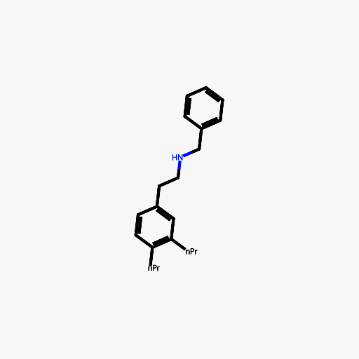 CCCc1ccc(CCNCc2ccccc2)cc1CCC